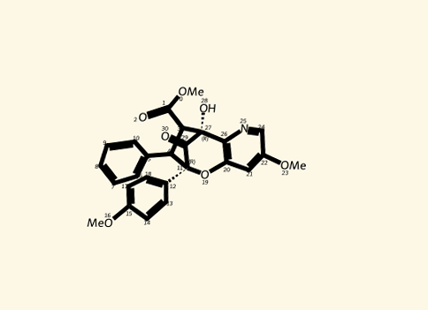 COC(=O)C1C(c2ccccc2)[C@]2(c3ccc(OC)cc3)Oc3cc(OC)cnc3[C@@]1(O)C2=O